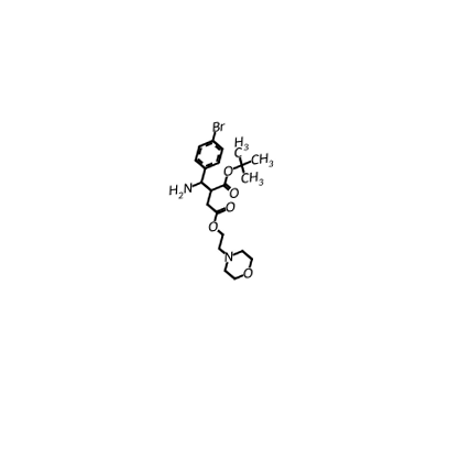 CC(C)(C)OC(=O)C(CC(=O)OCCN1CCOCC1)C(N)c1ccc(Br)cc1